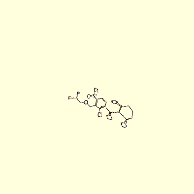 CC[S+]([O-])c1ccc(C(=O)C2C(=O)CCCC2=O)c(Cl)c1COCC(F)F